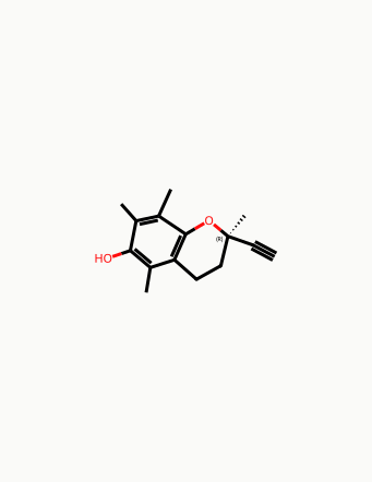 C#C[C@@]1(C)CCc2c(C)c(O)c(C)c(C)c2O1